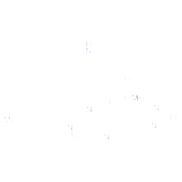 CCc1ncc(-c2cc(F)c3c(Nc4cc(C(=O)OC)cc(C5CNCCO5)c4)c(S(=O)(=O)NCc4ccc(OC)cc4)cnc3c2)c(CC)n1